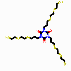 O=c1n(CCCSCCSCCS)c(=O)n(CCCSCCSCCS)c(=O)n1CCCSCCSCCS